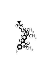 CCc1cc2c(C(=O)NC)c(-c3ccc(F)cc3)oc2nc1N(CCCS(=O)(=O)C1CC1)S(C)(=O)=O